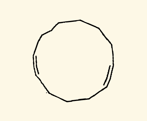 [CH]1C=CCCCCCC=CCC1